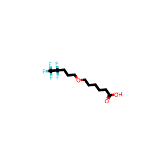 O=C(O)CCCCCOCCCC(F)(F)C(F)(F)F